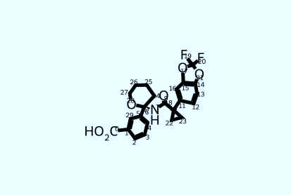 O=C(O)c1cccc([C@]2(NC(=O)C3(c4ccc5c(c4)OC(F)(F)O5)CC3)CCCCO2)c1